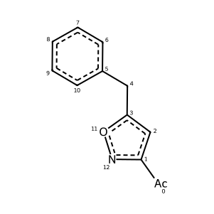 CC(=O)c1cc(Cc2ccccc2)on1